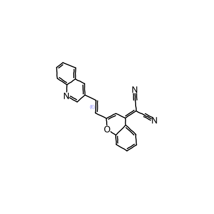 N#CC(C#N)=C1C=C(/C=C/c2cnc3ccccc3c2)Oc2ccccc21